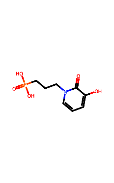 O=c1c(O)cccn1CCCP(=O)(O)O